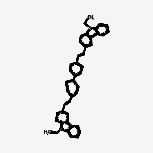 C=Cn1c2ccccc2c2cc(C=Cc3ccc(-c4ccc(C=Cc5ccc6c(c5)c5ccccc5n6CC)cc4)cc3)ccc21